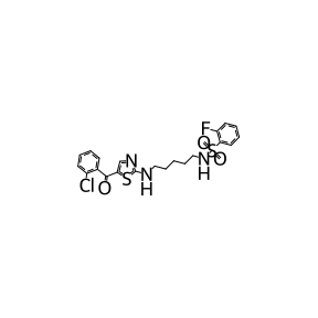 O=C(c1cnc(NCCCCCNS(=O)(=O)c2ccccc2F)s1)c1ccccc1Cl